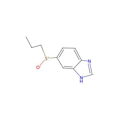 CCC[S+]([O-])c1ccc2n[c][nH]c2c1